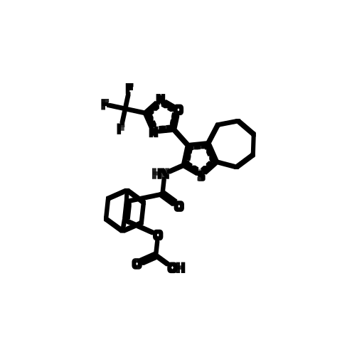 O=C(O)OC1=C(C(=O)Nc2sc3c(c2-c2nc(C(F)(F)F)no2)CCCCC3)C2CCC1CC2